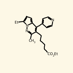 CCOC(=O)CCCCc1c(C)nn2c(CC)ccc2c1-c1ccncc1